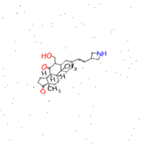 C[C@]12CCC(C=CC3CNC3)CC1C(CO)C(=O)[C@@H]1[C@H]2CC[C@]2(C)C(=O)CC[C@@H]12